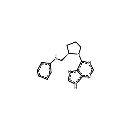 c1ccc(NC[C@H]2CCCN2c2ncnc3[nH]cnc23)cc1